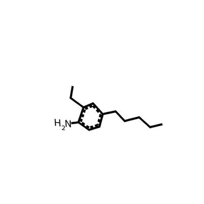 CCCCCc1ccc(N)c(CC)c1